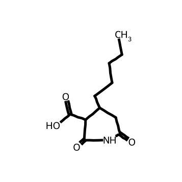 CCCCCC1CC(=O)NC(=O)C1C(=O)O